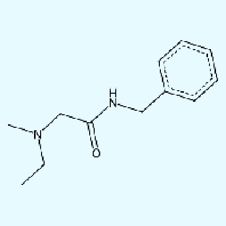 CCN(C)CC(=O)NCc1ccccc1